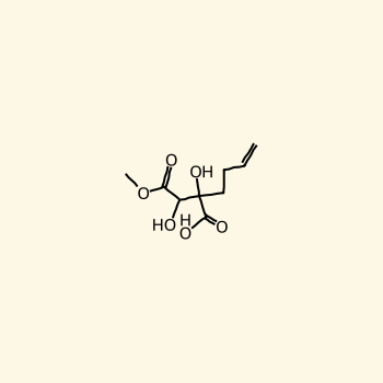 C=CCCC(O)(C(=O)O)C(O)C(=O)OC